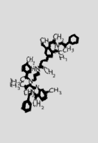 C=C(CCc1cc(CC)c(CC(=C)NCC(C)C2CCCCC2)c(CC)c1)NCCCN(C(=C)c1ccc(C)cc1)C(C1=Nc2cc(C)ccc2C(=C)N1Cc1ccccc1)C(C)C